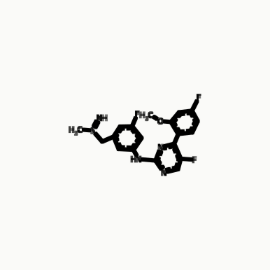 COc1cc(F)ccc1-c1nc(Nc2cc(F)cc(CS(C)=N)c2)ncc1F